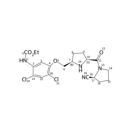 CCOC(=O)Nc1cc(OC[C@H]2CC[C@@H](C(=O)N3CCC[C@H]3C#N)N2)c(Cl)cc1Cl